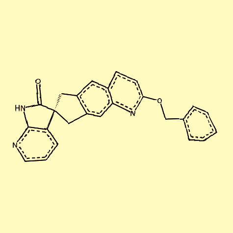 O=C1Nc2ncccc2[C@@]12Cc1cc3ccc(OCc4ccccc4)nc3cc1C2